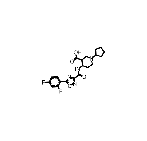 O=C(NC1CCN(C2CCCC2)CC1C(=O)O)c1noc(-c2ccc(F)cc2F)n1